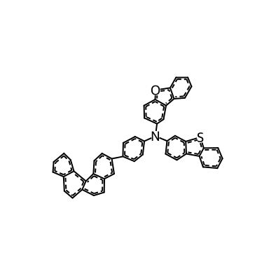 c1ccc2c(c1)ccc1ccc3cc(-c4ccc(N(c5ccc6c(c5)sc5ccccc56)c5ccc6oc7ccccc7c6c5)cc4)ccc3c12